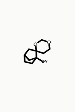 CC(C)C12CCC(CC13CCOCO3)C2